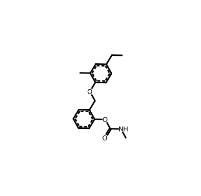 CCc1ccc(OCc2ccccc2OC(=O)NC)c(C)c1